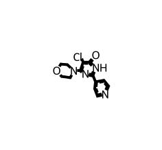 O=c1[nH]c(-c2ccncc2)nc(N2CCOCC2)c1Cl